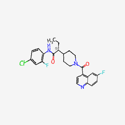 CC[C@H](C(=O)Nc1ccc(Cl)cc1F)C1CCN(C(=O)c2ccnc3ccc(F)cc23)CC1